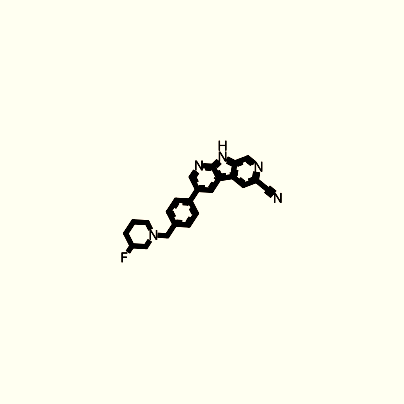 N#Cc1cc2c(cn1)[nH]c1ncc(-c3ccc(CN4CCCC(F)C4)cc3)cc12